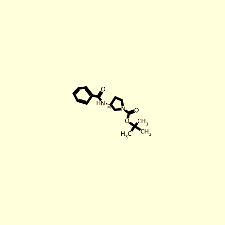 CC(C)(C)OC(=O)N1CC[C@@H](NC(=O)c2ccccc2)C1